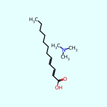 CCCCCCCC=CC=CC(=O)O.CN(C)C